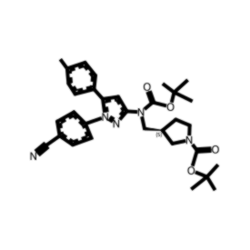 Cc1ccc(-c2cc(N(C[C@H]3CCN(C(=O)OC(C)(C)C)C3)C(=O)OC(C)(C)C)nn2-c2ccc(C#N)cc2)cc1